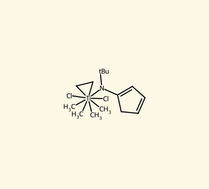 CC(C)(C)[N](C1=CC=CC1)[Ti]1([CH3])([CH3])([CH3])([CH3])([Cl])([Cl])[CH2][CH2]1